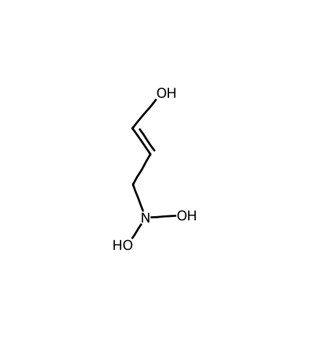 OC=CCN(O)O